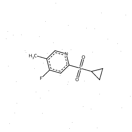 Cc1cnc(S(=O)(=O)C2CC2)cc1F